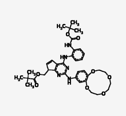 CC(C)(C)OC(=O)Nc1ccccc1Nc1nc(Nc2ccc3c(c2)OCCOCCOCCO3)nc2c1C=CC2COC(=O)C(C)(C)C